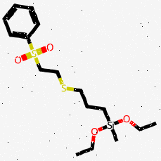 CCO[Si](C)(CCCSCCS(=O)(=O)c1ccccc1)OCC